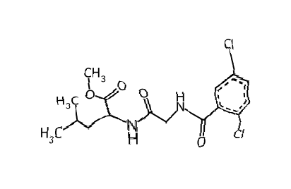 COC(=O)C(CC(C)C)NC(=O)CNC(=O)c1cc(Cl)ccc1Cl